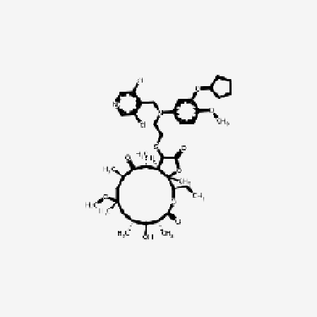 CC[C@H]1OC(=O)[C@H](C)[C@@H](O)[C@H](C)C[C@](C)(OC)C[C@@H](C)C(=O)[C@H](C)[C@H]2C(SCCN(Cc3c(Cl)cncc3Cl)c3ccc(OC)c(OC4CCCC4)c3)C(=O)O[C@@]21C